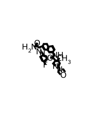 Cc1cc(N2CCOCC2)ncc1C(=O)Nc1ccc2c(c1)-c1c(c(C(N)=O)nn1-c1ccc(F)cc1)CC2